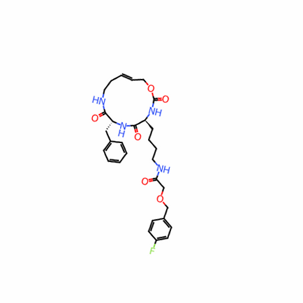 O=C(COCc1ccc(F)cc1)NCCCC[C@@H]1NC(=O)OC/C=C/CCNC(=O)[C@@H](Cc2ccccc2)NC1=O